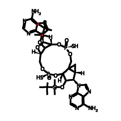 CC(C)(C)[Si](C)(C)OC1[C@H]2O[P@](=O)(S)OCC34C[C@@H]3[C@@H](n3cnc5c(N)ncnc53)C(O[Si](C)(C)C(C)(C)C)[C@@H]4O[P@@](=O)(S)OC[C@H]1O[C@H]2n1cnc2c(N)ncnc21